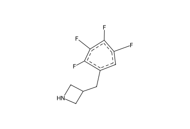 Fc1cc(CC2CNC2)c(F)c(F)c1F